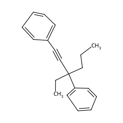 CCCC(C#Cc1ccccc1)(CC)c1ccccc1